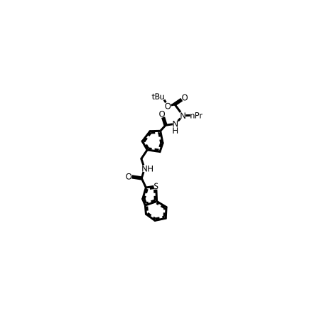 CCCN(NC(=O)c1ccc(CNC(=O)c2cc3ccccc3s2)cc1)C(=O)OC(C)(C)C